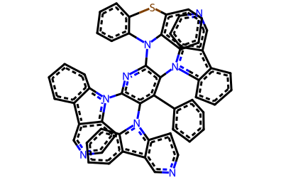 c1ccc(-c2c(-n3c4ccccc4c4cnccc43)c(N3c4ccccc4Sc4ccccc43)nc(-n3c4ccccc4c4cnccc43)c2-n2c3ccccc3c3cnccc32)cc1